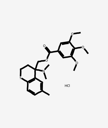 COc1cc(C(=O)OCC2(N(C)C)CCSc3ccc(C)cc32)cc(OC)c1OC.Cl